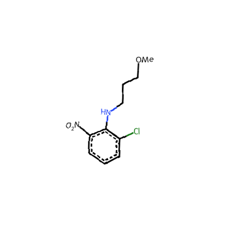 COCCCNc1c(Cl)cccc1[N+](=O)[O-]